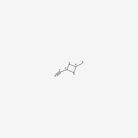 C#CC1CC(C)C1